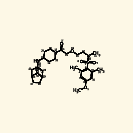 COc1cc(C)c(S(=O)(=O)N(C)CCOCC(=O)N2CCC(NC3CC4CCC(C3)N4C)CC2)c(C)c1